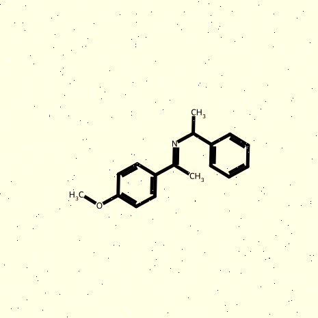 COc1ccc(C(C)=NC(C)c2ccccc2)cc1